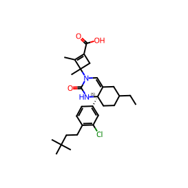 CCC1CC[C@@]2(c3ccc(CCC(C)(C)C)c(Cl)c3)NC(=O)N(C3(C)CC(C(=O)O)=C3C)C=C2C1